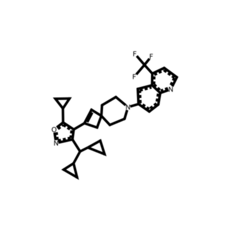 FC(F)(F)c1ccnc2ccc(N3CCC4(C=C(c5c(C(C6CC6)C6CC6)noc5C5CC5)C4)CC3)cc12